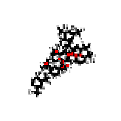 CCC(C)(C)c1ccc(OP(OCCN(CCOP(Oc2ccc(C(C)(C)CC)cc2C(C)(C)CC)Oc2ccc(C(C)(C)CC)cc2C(C)(C)CC)CCOP(Oc2ccc(C(C)(C)CC)cc2C(C)(C)CC)Oc2ccc(C(C)(C)CC)cc2C(C)(C)CC)Oc2ccc(C(C)(C)CC)cc2C(C)(C)CC)c(C(C)(C)CC)c1